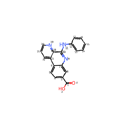 O=C(O)c1ccc2c(c1)nc(Nc1ccccc1)c1ncccc12